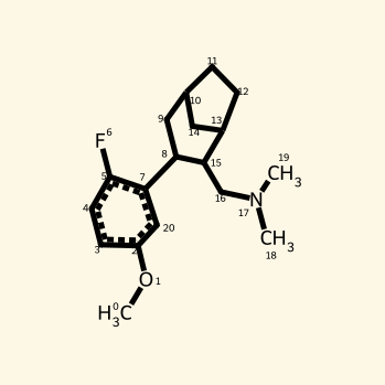 COc1ccc(F)c(C2CC3CCC(C3)C2CN(C)C)c1